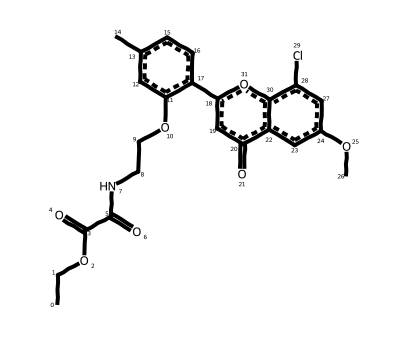 CCOC(=O)C(=O)NCCOc1cc(C)ccc1-c1cc(=O)c2cc(OC)cc(Cl)c2o1